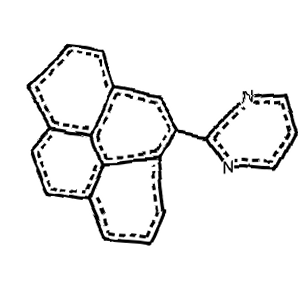 c1cnc(-c2cc3cccc4ccc5cccc2c5c43)nc1